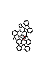 c1ccc2c(c1)-c1ccccc1C21c2ccccc2N2c3cccc4c3[N+]3(c5c(ccc6c5-n5c7c(cccc7c7ccc[n+]3c75)C63c5ccccc5-c5ccccc53)O4)[n+]3cccc1c32